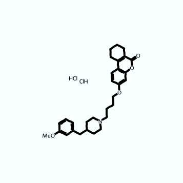 COc1cccc(CC2CCN(CCCCOc3ccc4c5c(c(=O)oc4c3)CCCC5)CC2)c1.Cl.Cl